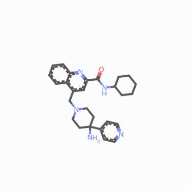 NC1(c2ccncc2)CCN(Cc2cc(C(=O)NC3CCCCC3)nc3ccccc23)CC1